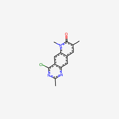 Cc1nc(Cl)c2cc3c(cc(C)c(=O)n3C)cc2n1